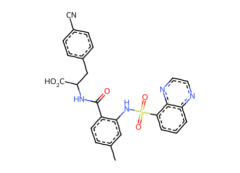 Cc1ccc(C(=O)NC(Cc2ccc(C#N)cc2)C(=O)O)c(NS(=O)(=O)c2cccc3nccnc23)c1